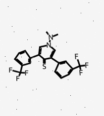 CN(C)n1cc(-c2cccc(C(F)(F)F)c2)c(=S)c(-c2cccc(C(F)(F)F)c2)c1